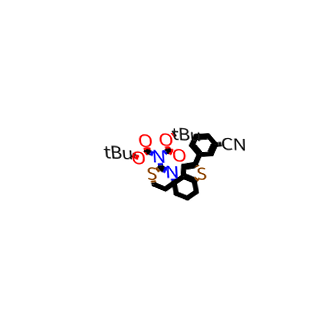 CC(C)(C)OC(=O)N(C(=O)OC(C)(C)C)C1=NC2(CCCc3sc(-c4cccc(C#N)c4)cc32)CCS1